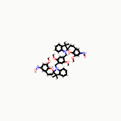 COc1cc(CN2c3ccccc3C(C)(C)C23C=Cc2cc(N=O)cc(OC)c2O3)c(OC)cc1CN1c2ccccc2C(C)(C)C12C=Cc1cc(N=O)cc(OC)c1O2